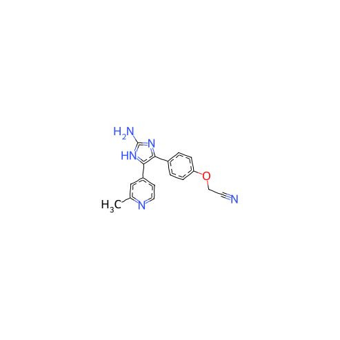 Cc1cc(-c2[nH]c(N)nc2-c2ccc(OCC#N)cc2)ccn1